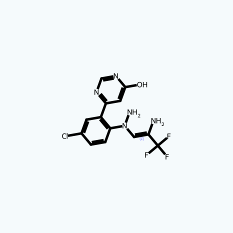 N/C(=C\N(N)c1ccc(Cl)cc1-c1cc(O)ncn1)C(F)(F)F